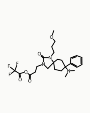 COCCCN1C(=O)N(CCC(=O)OC(=O)C(F)(F)F)CC12CCC(c1ccccc1)(N(C)C)CC2